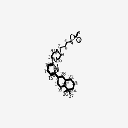 CC(=O)OCCCCN1CCN(c2cccc(C3CCC4C(CCCC4(C)C)C3)n2)CC1